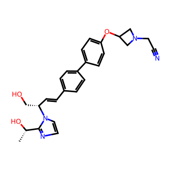 C[C@H](O)c1nccn1[C@@H](/C=C/c1ccc(-c2ccc(OC3CN(CC#N)C3)cc2)cc1)CO